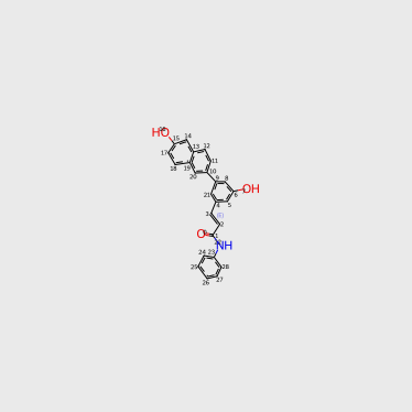 O=C(/C=C/c1cc(O)cc(-c2ccc3cc(O)ccc3c2)c1)Nc1ccccc1